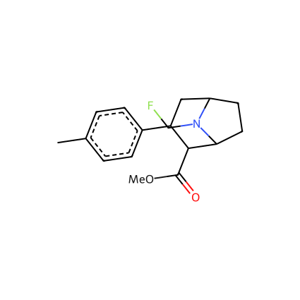 COC(=O)C1C(c2ccc(C)cc2)CC2CCC1N2CF